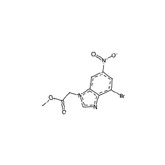 COC(=O)Cn1cnc2c(Br)cc([N+](=O)[O-])cc21